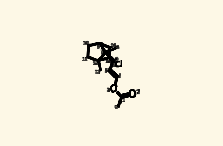 CC(=O)O/C=C/CC1(C)C2CCC1(C)C(Cl)C2